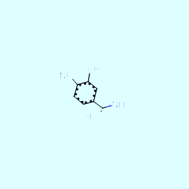 Cc1cc([C@H](C)N)ccc1C#N